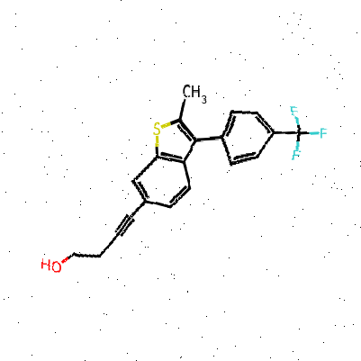 Cc1sc2cc(C#CCCO)ccc2c1-c1ccc(C(F)(F)F)cc1